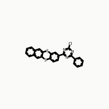 Clc1nc(-c2ccccc2)nc(-c2ccc3c(c2)Sc2cc4ccccc4cc2S3)n1